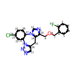 Fc1ccccc1COCc1ncn2c1Cc1cnnn1-c1cc(Cl)ccc1-2